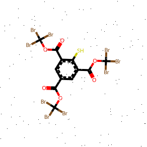 O=C(OC(Br)(Br)Br)c1cc(C(=O)OC(Br)(Br)Br)c(S)c(C(=O)OC(Br)(Br)Br)c1